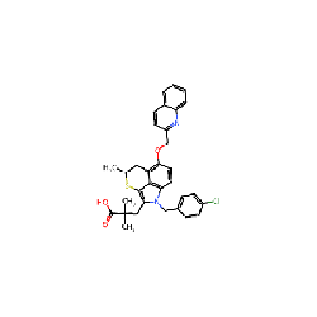 CC1Cc2c(OCc3ccc4ccccc4n3)ccc3c2c(c(CC(C)(C)C(=O)O)n3Cc2ccc(Cl)cc2)S1